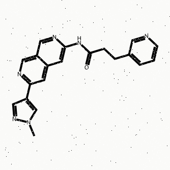 Cn1cc(-c2cc3cc(NC(=O)CCc4cccnc4)ncc3cn2)cn1